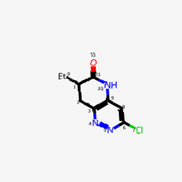 CCC1Cc2nnc(Cl)cc2NC1=O